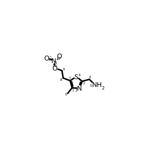 Cc1nc(CN)sc1CCO[N+](=O)[O-]